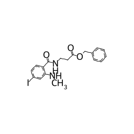 CNc1cc(I)ccc1C(=O)NCCC(=O)OCc1ccccc1